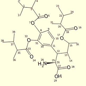 CC(C)C(C)C(=O)Oc1ccc(C(C(C)C(C)OC(=O)C(C)C(C)C)[C@H](N)C(=O)O)cc1OC(=O)C(C)C(C)C